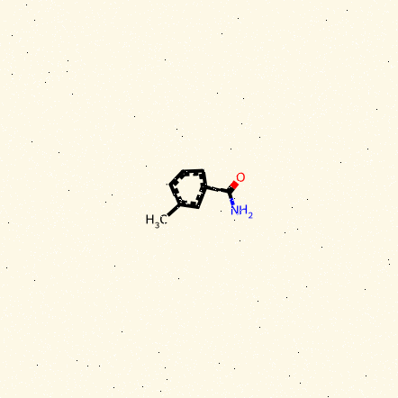 Cc1[c]ccc(C(N)=O)c1